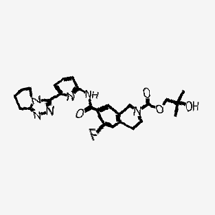 CC(C)(O)COC(=O)N1CCc2cc(F)c(C(=O)Nc3cccc(-c4nnc5n4CCCC5)n3)cc2C1